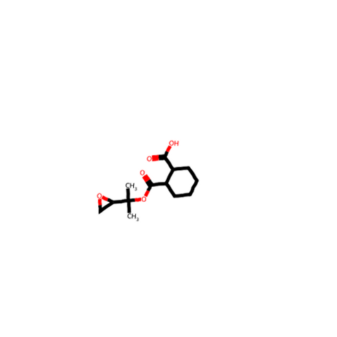 CC(C)(OC(=O)C1CCCCC1C(=O)O)C1CO1